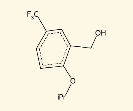 CC(C)Oc1ccc(C(F)(F)F)cc1[CH]O